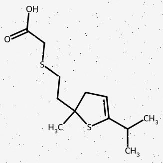 CC(C)C1=CCC(C)(CCSCC(=O)O)S1